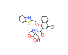 CCC(CC)(NC(=O)c1cc(Cl)c2ccccc2c1OCc1nc2ccccc2s1)C(=O)O